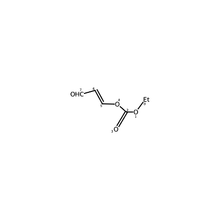 CCOC(=O)OC=CC=O